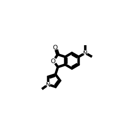 CN(C)c1ccc2c(c1)C(=O)OC2c1ccn(C)c1